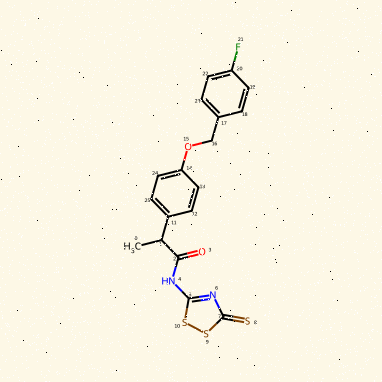 CC(C(=O)Nc1nc(=S)ss1)c1ccc(OCc2ccc(F)cc2)cc1